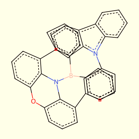 c1ccc(-c2cccc3c2N(B2c4ccccc4-n4c5ccccc5c5cccc2c54)c2c(cccc2-c2ccccc2)O3)cc1